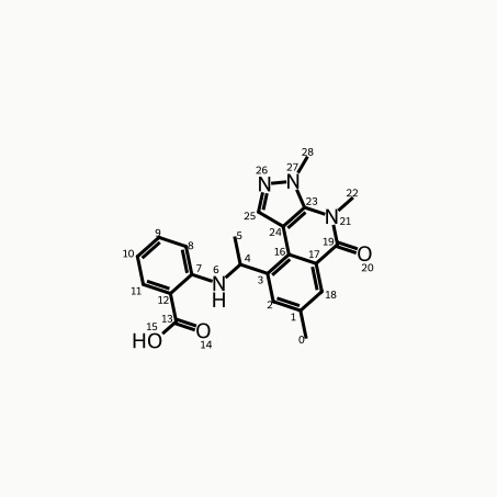 Cc1cc(C(C)Nc2ccccc2C(=O)O)c2c(c1)c(=O)n(C)c1c2cnn1C